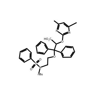 CCCCN(CCOC(c1ccccc1)(c1ccccc1)C(Oc1nc(C)cc(C)n1)C(=O)O)S(=O)(=O)c1ccccc1